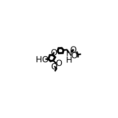 CCOC(=O)c1cc(O)cc(Oc2ccc(CNC(=O)OC(C)(C)C)cc2)c1